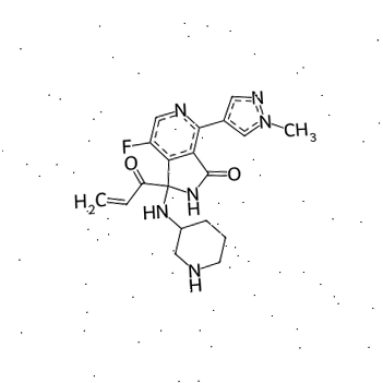 C=CC(=O)C1(NC2CCCNC2)NC(=O)c2c(-c3cnn(C)c3)ncc(F)c21